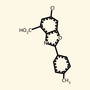 Cc1ccc(-c2nc3c(C(=O)O)cc(Cl)cc3o2)cc1